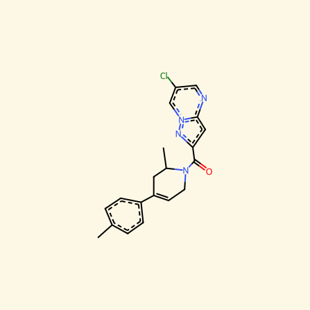 Cc1ccc(C2=CCN(C(=O)c3cc4ncc(Cl)cn4n3)C(C)C2)cc1